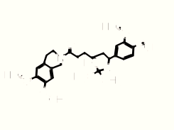 COc1ccc(C(CCCCC(=O)N2CCc3cc(OC)c(OC)cc3C2)SC(C)(C)C)cc1OC